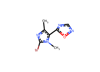 Cc1nc(Br)n(C)c1-c1ncno1